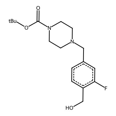 CC(C)(C)OC(=O)N1CCN(Cc2ccc(CO)c(F)c2)CC1